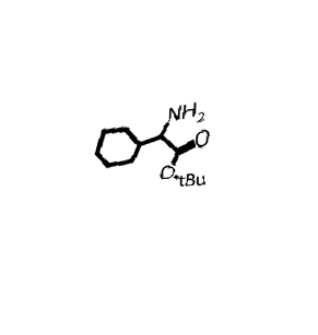 CC(C)(C)OC(=O)C(N)C1CCCCC1